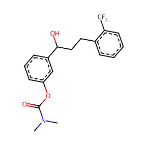 CN(C)C(=O)Oc1cccc(C(O)CCc2ccccc2C(F)(F)F)c1